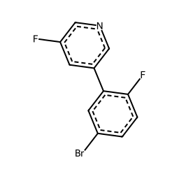 Fc1cncc(-c2cc(Br)ccc2F)c1